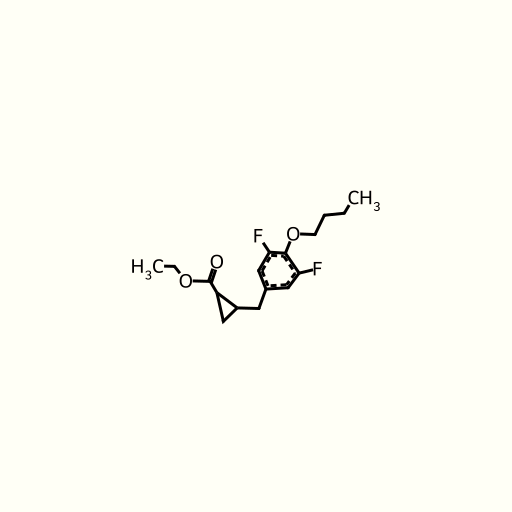 CCCCOc1c(F)cc(CC2CC2C(=O)OCC)cc1F